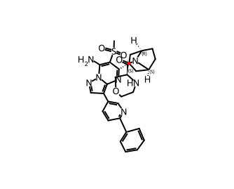 CS(=O)(=O)c1c([C@@H]2C[C@H]3CC[C@@H](C2)N3C(=O)[C@@H]2COCCN2)nc2c(-c3ccc(-c4ccccc4)nc3)cnn2c1N